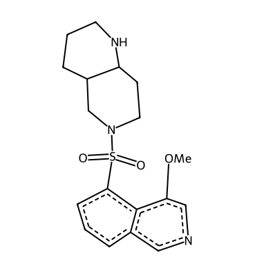 COc1cncc2cccc(S(=O)(=O)N3CCC4NCCCC4C3)c12